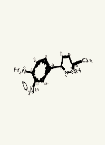 Nc1ccc(C2=NNC(=O)CC2)cc1[N+](=O)[O-]